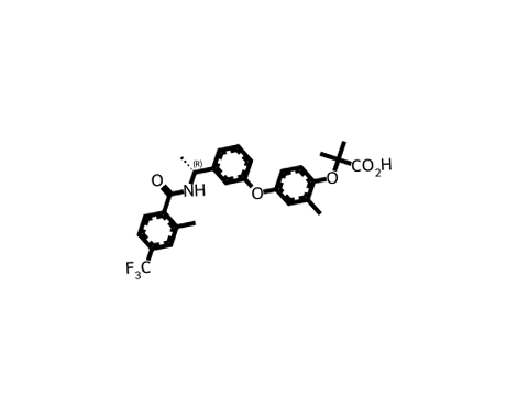 Cc1cc(Oc2cccc([C@@H](C)NC(=O)c3ccc(C(F)(F)F)cc3C)c2)ccc1OC(C)(C)C(=O)O